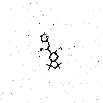 CCCc1cc2c(cc1C(=Cc1ccno1)C(C)C)C(C)(C)CC2(C)C